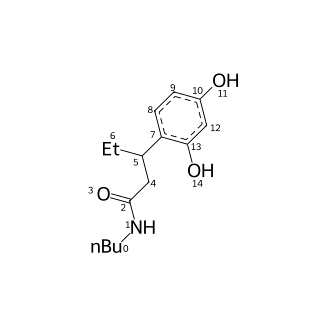 CCCCNC(=O)CC(CC)c1ccc(O)cc1O